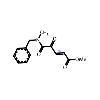 COC(=O)/C=C/C(=O)C(=O)N(C)Cc1ccccc1